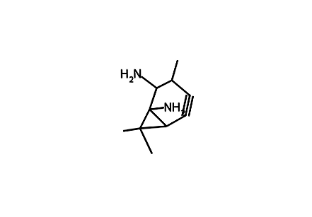 CC1C#CC2C(C)(C)C2(N)C1N